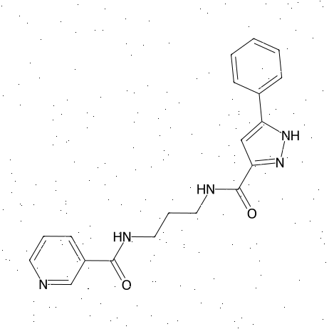 O=C(NCCCNC(=O)c1cc(-c2ccccc2)[nH]n1)c1cccnc1